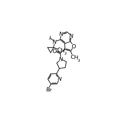 Cc1oc2ncnc(N(I)C3(C)CC3)c2c1C(=O)N1CCC(c2ccc(Br)cn2)C1